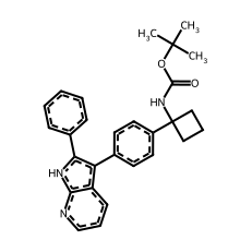 CC(C)(C)OC(=O)NC1(c2ccc(-c3c(-c4ccccc4)[nH]c4ncccc34)cc2)CCC1